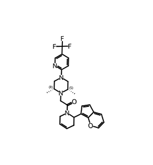 C[C@@H]1CN(c2ccc(C(F)(F)F)cn2)C[C@H](C)N1CC(=O)N1CC=CCC1c1ccc2cccoc1-2